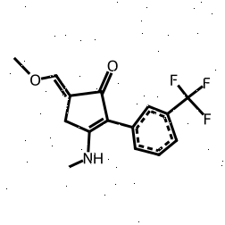 CNC1=C(c2cccc(C(F)(F)F)c2)C(=O)C(=COC)C1